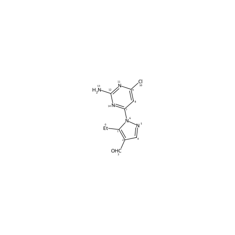 CCc1c(C=O)cnn1-c1cc(Cl)nc(N)n1